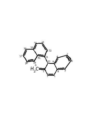 C=C1C=Cc2ccccc2C1c1[c]ccc2ccccc12